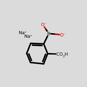 O=C(O)c1ccccc1B([O-])[O-].[Na+].[Na+]